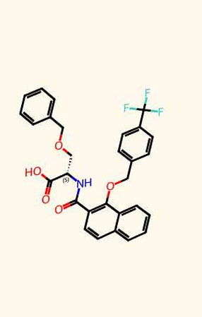 O=C(N[C@@H](COCc1ccccc1)C(=O)O)c1ccc2ccccc2c1OCc1ccc(C(F)(F)F)cc1